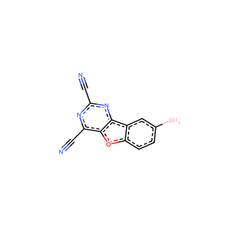 Bc1ccc2oc3c(C#N)nc(C#N)nc3c2c1